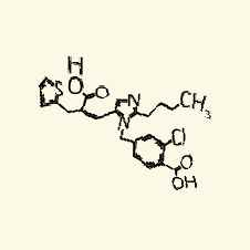 CCCCc1ncc(C=C(Cc2cccs2)C(=O)O)n1Cc1ccc(C(=O)O)c(Cl)c1